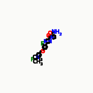 CC(C)(F)CN1CCC(COc2ccc(-c3cnc(C(=O)N4CCC[C@H]4C(N)=O)cn3)c(F)c2)CC1